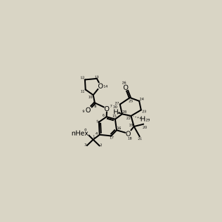 CCCCCCC(C)(C)c1cc(OC(=O)C2CCCO2)c2c(c1)OC(C)(C)[C@@H]1CCC(=O)C[C@@H]21